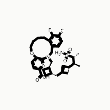 C[C@H]([C@@H](C)S(N)(=O)=O)[C@H]1C=C(C[C@@H]2CC[C@H]2CN2Cc3ccc(Cl)c(F)c3CCCCOc3ccc(C(=O)O)nc32)C1